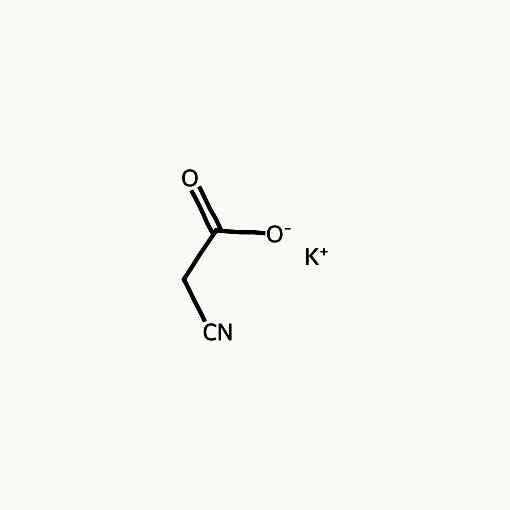 N#CCC(=O)[O-].[K+]